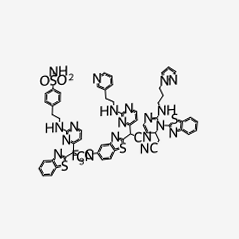 N#CC(c1ccnc(NCCc2ccc(S(N)(=O)=O)cc2)n1)c1nc2ccccc2s1.N#CC(c1ccnc(NCCc2cccnc2)n1)c1nc2cc(C(F)(F)F)ccc2s1.N#CCC1C=CN=C(NCCCn2cccn2)N1c1nc2ccccc2s1